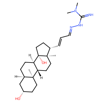 CN(C)C(=N)N/N=C/C=C/[C@H]1CC[C@]2(O)[C@@H]3CC[C@@H]4C[C@@H](O)CC[C@]4(C)[C@H]3CC[C@]12C